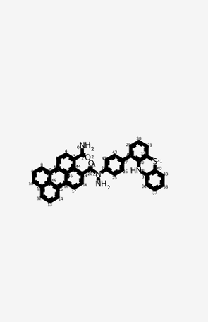 NC(=O)c1ccc2c3cccc4cccc(c5ccc(C(=O)N(N)c6ccc(-c7cccc8c7Nc7ccccc7S8)cc6)c1c25)c43